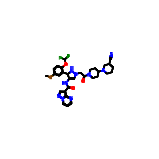 CSc1ccc(OC(F)F)c(C2NN(CC(=O)N3CCC(N4CCCC(C#N)C4)CC3)C=C2NC(=O)c2cnn3cccnc23)c1